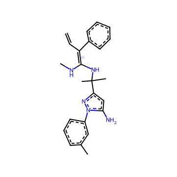 C=C/C(=C(\NC)NC(C)(C)c1cc(N)n(-c2cccc(C)c2)n1)c1ccccc1